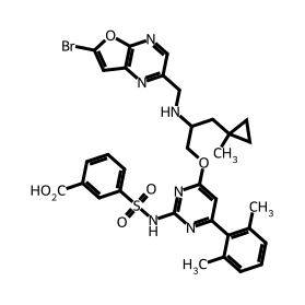 Cc1cccc(C)c1-c1cc(OCC(CC2(C)CC2)NCc2cnc3oc(Br)cc3n2)nc(NS(=O)(=O)c2cccc(C(=O)O)c2)n1